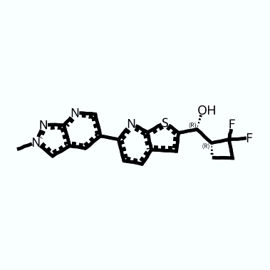 Cn1cc2cc(-c3ccc4cc([C@H](O)[C@H]5CCC5(F)F)sc4n3)cnc2n1